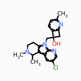 Cc1ccc2c(n1)CC2(O)Cn1c2c(c3cc(Cl)cnc31)C(C)N(C)CC2